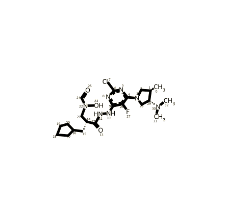 C[C@@H]1CN(c2nc(Cl)nc(NNC(=O)[C@H](CC3CCCC3)CN(O)C=O)c2F)C[C@H]1N(C)C